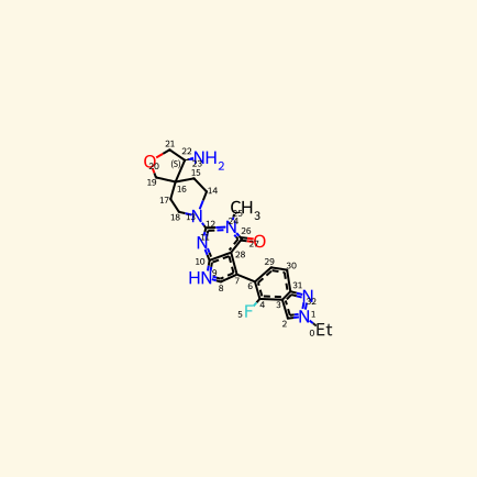 CCn1cc2c(F)c(-c3c[nH]c4nc(N5CCC6(CC5)COC[C@H]6N)n(C)c(=O)c34)ccc2n1